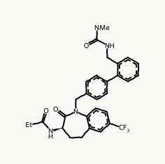 CCC(=O)N[C@@H]1CCc2cc(C(F)(F)F)ccc2N(Cc2ccc(-c3ccccc3CNC(=O)NC)cc2)C1=O